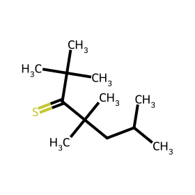 CC(C)CC(C)(C)C(=S)C(C)(C)C